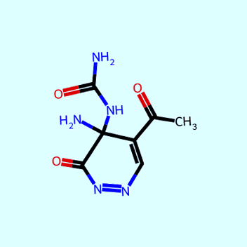 CC(=O)C1=CN=NC(=O)C1(N)NC(N)=O